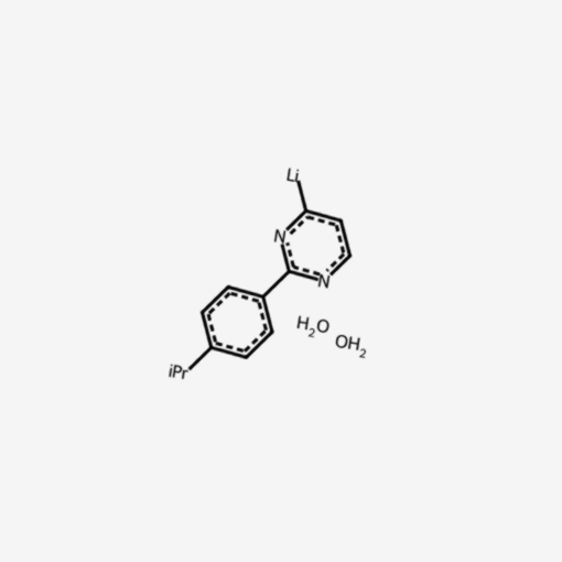 O.O.[Li][c]1ccnc(-c2ccc(C(C)C)cc2)n1